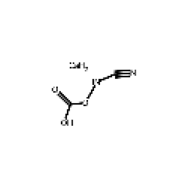 N#CNOC(=O)O.[CaH2]